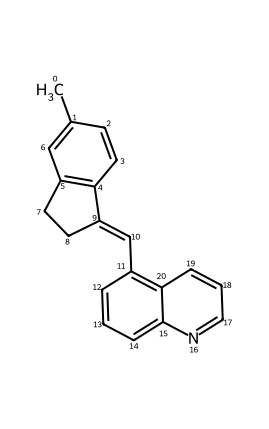 Cc1ccc2c(c1)CCC2=Cc1cccc2ncccc12